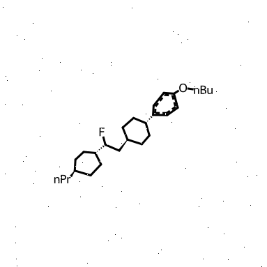 CCCCOc1ccc([C@H]2CC[C@H](CC(F)[C@H]3CC[C@H](CCC)CC3)CC2)cc1